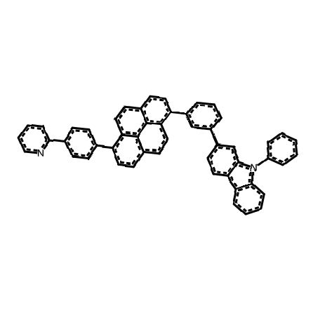 c1ccc(-n2c3ccccc3c3ccc(-c4cccc(-c5ccc6ccc7c(-c8ccc(-c9ccccn9)cc8)ccc8ccc5c6c87)c4)cc32)cc1